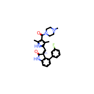 Cc1[nH]c(/C=C2\C(=O)Nc3cccc(-c4cccc(F)c4)c32)c(C)c1C(=O)N1CCN(C)CC1